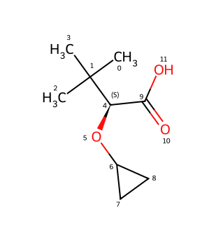 CC(C)(C)[C@H](OC1CC1)C(=O)O